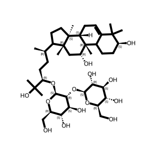 C[C@H](CC[C@@H](O[C@@H]1O[C@H](CO)[C@@H](O)[C@H](O)[C@H]1O[C@@H]1O[C@H](CO)[C@@H](O)[C@H](O)[C@H]1O)C(C)(C)O)C1CC[C@@]2(C)[C@@H]3CC=C4C(CC[C@H](O)C4(C)C)[C@]3(C)[C@H](O)C[C@]12C